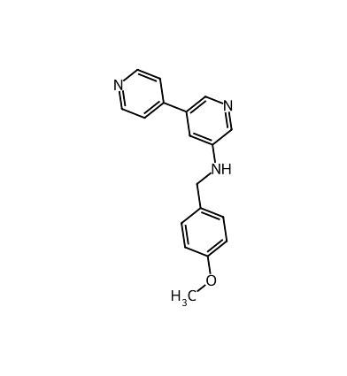 COc1ccc(CNc2cncc(-c3ccncc3)c2)cc1